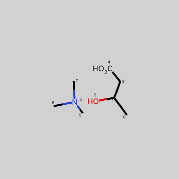 CC(O)CC(=O)O.CN(C)C